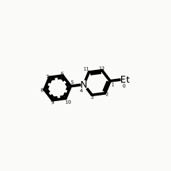 CCC1=CCN(c2ccccc2)C=C1